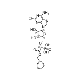 Nc1nc(Cl)nc2c1ncn2[C@@H]1O[C@H](CO[C@@H](C(=O)OCc2ccccc2)P(=O)(O)O)[C@H](O)[C@H]1O